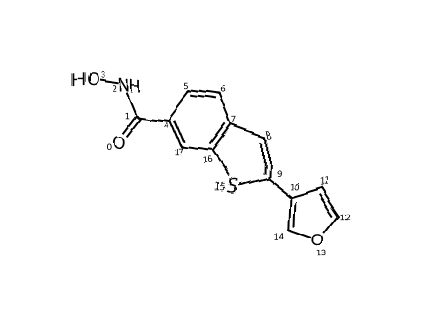 O=C(NO)c1ccc2cc(-c3ccoc3)sc2c1